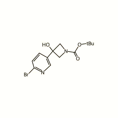 CC(C)(C)OC(=O)N1CC(O)(c2ccc(Br)nc2)C1